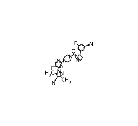 Cc1nn(-c2nc(N3CCN(C(=O)N4N=CCC4c4cc(F)cc(C#N)c4)CC3)ncc2F)c(C)c1C#N